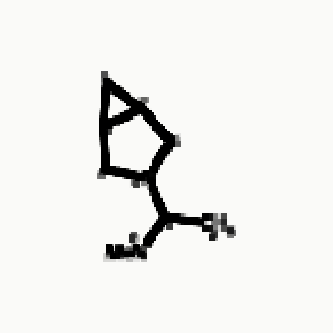 CNC(C)N1CC2CC2C1